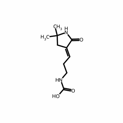 CC1(C)CC(=CCCNC(=O)O)C(=O)N1